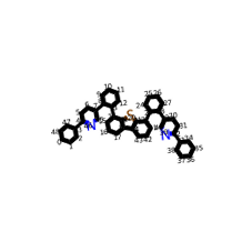 c1ccc(-c2ccc(-c3ccccc3-c3cccc4c3sc3c(-c5ccccc5-c5ccc(-c6ccccc6)nc5)cccc34)cn2)cc1